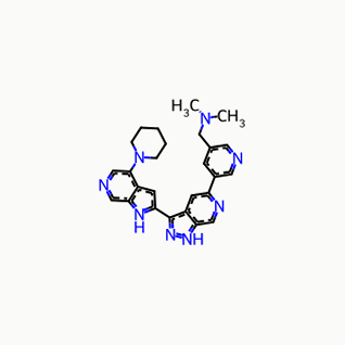 CN(C)Cc1cncc(-c2cc3c(-c4cc5c(N6CCCCC6)cncc5[nH]4)n[nH]c3cn2)c1